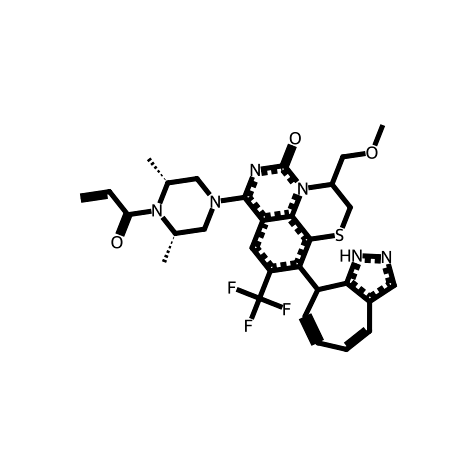 C=CC(=O)N1[C@H](C)CN(c2nc(=O)n3c4c(c(C5C#CC=Cc6cn[nH]c65)c(C(F)(F)F)cc24)SCC3COC)C[C@@H]1C